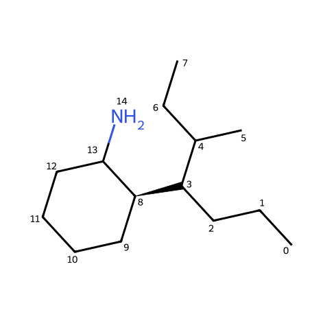 CCCC(C(C)CC)[C@H]1CCCCC1N